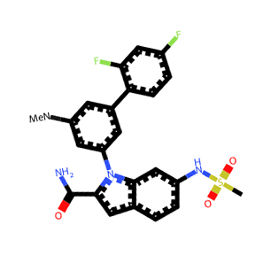 CNc1cc(-c2ccc(F)cc2F)cc(-n2c(C(N)=O)cc3ccc(NS(C)(=O)=O)cc32)c1